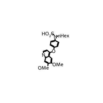 CCCCCCN(C(=O)O)c1ccc(Oc2ccnc3cc(OC)c(OC)cc23)cc1